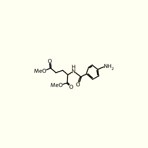 COC(=O)CCC(NC(=O)c1ccc(N)cc1)C(=O)OC